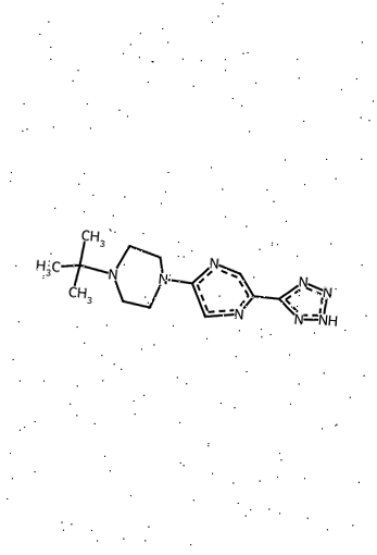 CC(C)(C)N1CCN(c2cnc(-c3nn[nH]n3)cn2)CC1